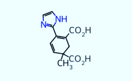 CC1(C(=O)O)C=CC(c2ncc[nH]2)=C(C(=O)O)C1